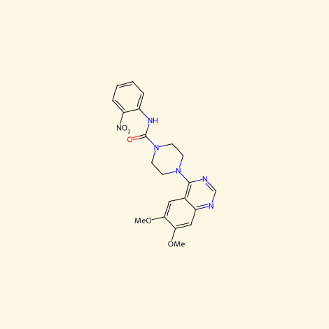 COc1cc2ncnc(N3CCN(C(=O)Nc4ccccc4[N+](=O)[O-])CC3)c2cc1OC